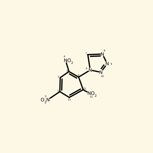 O=[N+]([O-])c1cc([N+](=O)[O-])c(-n2cnnn2)c([N+](=O)[O-])c1